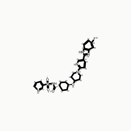 O=C(NS(=O)(=O)c1cccnc1)[C@H]1CC[C@H](OC2CCN(c3ccc(-c4nc5cc(F)ccc5[nH]4)cn3)CC2)CC1